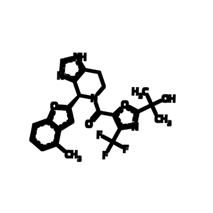 Cc1cccc2oc([C@H]3c4nc[nH]c4CCN3C(=O)c3oc(C(C)(C)O)nc3C(F)(F)F)cc12